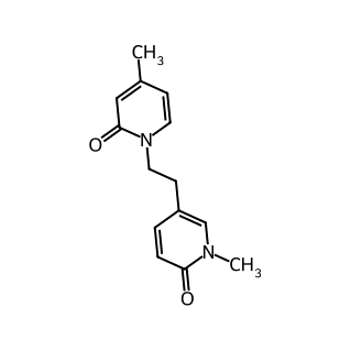 Cc1ccn(CCc2ccc(=O)n(C)c2)c(=O)c1